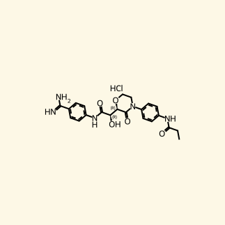 CCC(=O)Nc1ccc(N2CCO[C@H]([C@@H](O)C(=O)Nc3ccc(C(=N)N)cc3)C2=O)cc1.Cl